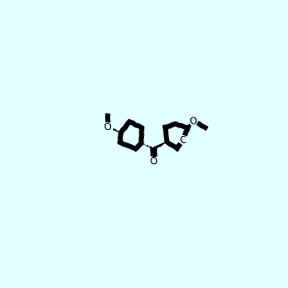 CO[C@H]1CC[C@@H](C(=O)[C@H]2CC[C@@H](OC)CC2)CC1